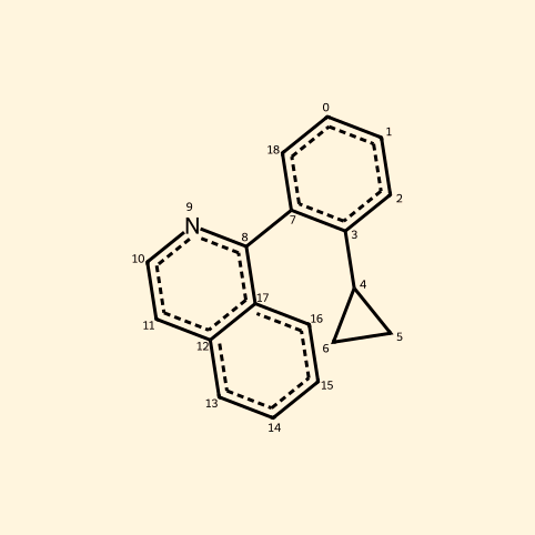 c1ccc(C2CC2)c(-c2nccc3ccccc23)c1